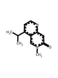 CC(C)c1ccnc2cc(=O)n(C)cc12